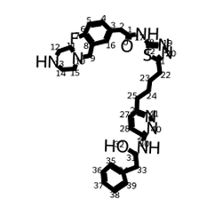 O=C(Cc1ccc(F)c(CN2CCNCC2)c1)Nc1nnc(CCCCc2ccc(NC(O)Cc3ccccc3)nn2)s1